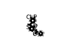 O=C(Cn1ccc2scc(-c3ccc(F)c(Cl)c3)c2c1=O)N1CCCC1